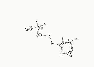 Cn1cc(CCO[Si](C)(C)C(C)(C)C)cn1